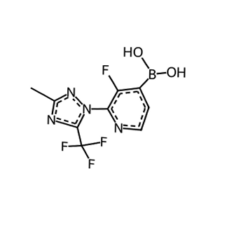 Cc1nc(C(F)(F)F)n(-c2nccc(B(O)O)c2F)n1